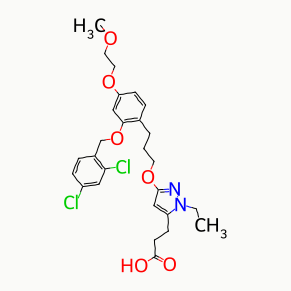 CCn1nc(OCCCc2ccc(OCCOC)cc2OCc2ccc(Cl)cc2Cl)cc1CCC(=O)O